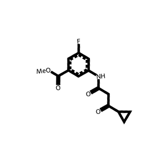 COC(=O)c1cc(F)cc(NC(=O)CC(=O)C2CC2)c1